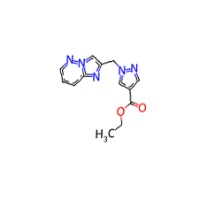 CCOC(=O)c1cnn(Cc2cn3ncccc3n2)c1